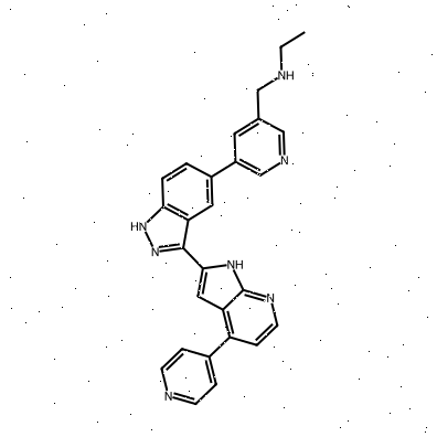 CCNCc1cncc(-c2ccc3[nH]nc(-c4cc5c(-c6ccncc6)ccnc5[nH]4)c3c2)c1